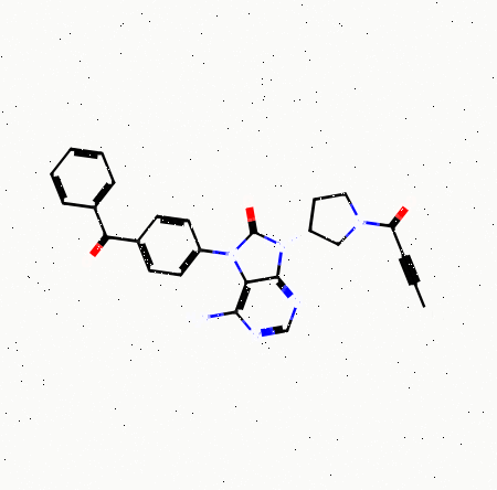 CC#CC(=O)N1CC[C@@H](n2c(=O)n(-c3ccc(C(=O)c4ccccc4)cc3)c3c(N)ncnc32)C1